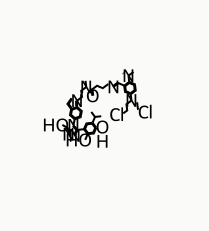 CC(C)c1cc(-c2nnc(O)n2-c2ccc3c(ccn3CCN(C)C(=O)CCC/N=C/c3cc(N(CCCl)CCCl)ccc3N(C)C)c2)c(O)cc1O